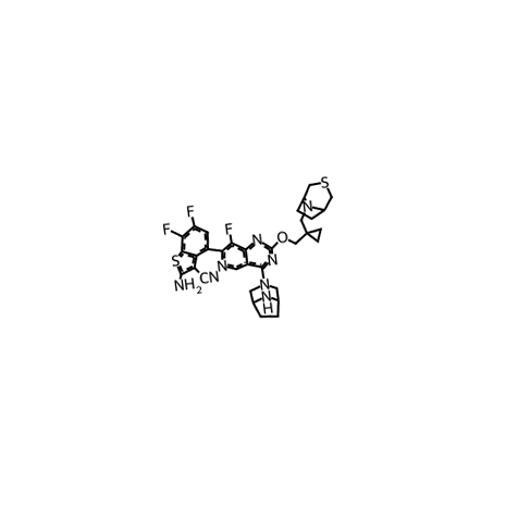 N#Cc1c(N)sc2c(F)c(F)cc(-c3ncc4c(N5CC6CCC(C5)N6)nc(OCC5(CN6C7CCC6CSC7)CC5)nc4c3F)c12